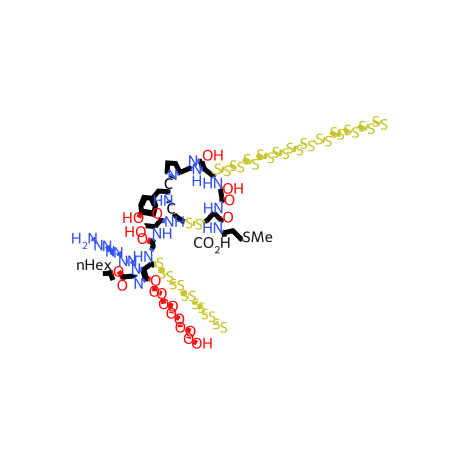 CCCCCCC(C)(C)OC(=O)c1nc(OOOOOOOOOOO)c(C(NCC(=O)NC(CO)C(=O)NC2CNC(Cc3ccc(O)cc3)CN3CCCC3c3nc(O)c([nH]3)C(=S=S=S=S=S=S=S=S=S=S=S=S=S=S=S=S=S=S=S=S=S=S=S=S)NC(O)C(=O)NC(C(=O)NC(CCSC)C(=O)O)CSSC2)=S=S=S=S=S=S=S=S=S=S=S=S=S)n1/N=N/N=N/N=N/N